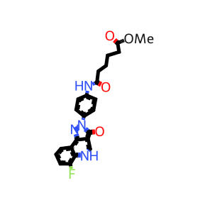 COC(=O)CCCCC(=O)Nc1ccc(-n2nc3c4cccc(F)c4[nH]cc-3c2=O)cc1